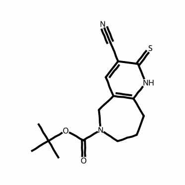 CC(C)(C)OC(=O)N1CCCc2[nH]c(=S)c(C#N)cc2C1